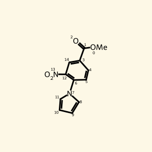 COC(=O)c1ccc(-n2cccc2)c([N+](=O)[O-])c1